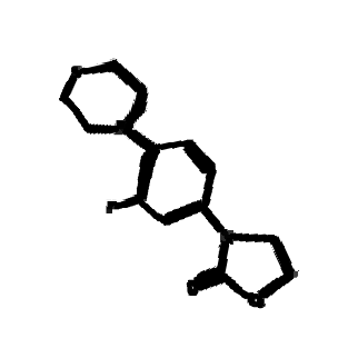 O=C1O[CH]CN1c1ccc(N2CCSCC2)c(F)c1